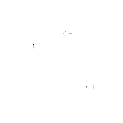 CN1CC[C@H](N)[C@H](O)C1